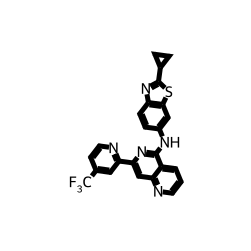 FC(F)(F)c1ccnc(-c2cc3ncccc3c(Nc3ccc4nc(C5CC5)sc4c3)n2)c1